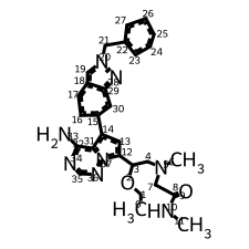 CCOC(CN(C)CC(=O)NC)c1cc(-c2ccc3cn(Cc4ccccc4)nc3c2)c2c(N)ncnn12